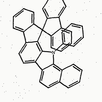 c1ccc(-n2c3c4c(ccc3c3ccc5ccccc5c32)-c2ccccc2C42c3ccccc3-c3ccccc32)cc1